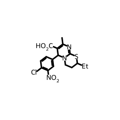 CCC1CCN2C(=NC(C)=C(C(=O)O)C2c2ccc(Cl)c([N+](=O)[O-])c2)S1